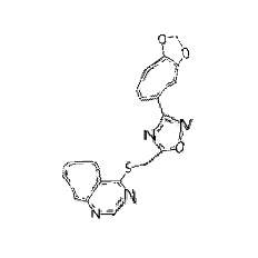 c1ccc2c(SCc3nc(-c4ccc5c(c4)OCO5)no3)ncnc2c1